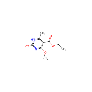 CCOC(=O)c1c(OC)nc(=O)[nH]c1C